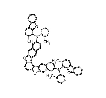 Cc1ccccc1N(c1ccc2cc3c(cc2c1)oc1ccc2oc4cc5cc(N(c6ccccc6C)c6c(C)ccc7c6oc6ccccc67)ccc5cc4c2c13)c1c(C)ccc2c1oc1ccccc12